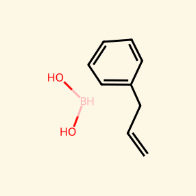 C=CCc1ccccc1.OBO